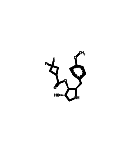 COc1ccc(C[C@H]2NC[C@H](O)[C@H]2OC(=O)C2CC(F)(F)C2)cc1